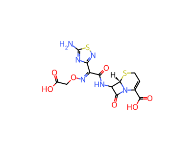 Nc1nc(C(=NOCC(=O)O)C(=O)NC2C(=O)N3C(C(=O)O)=CCS[C@@H]23)ns1